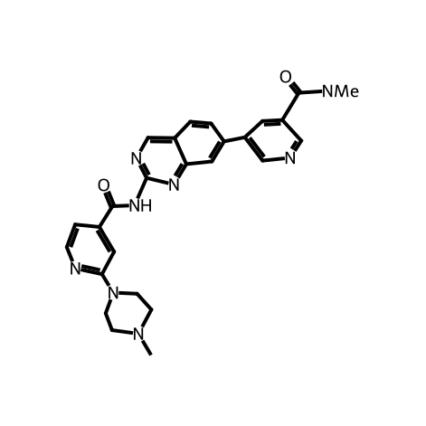 CNC(=O)c1cncc(-c2ccc3cnc(NC(=O)c4ccnc(N5CCN(C)CC5)c4)nc3c2)c1